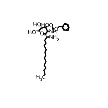 CCCCCCCCCCCCCC(N)[C@@H]1O[C@H](CO)[C@H](O)[C@H](O)[C@H]1NC(=O)OCc1ccccc1